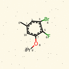 Cc1cc(Br)c(F)c(OC(C)C)c1